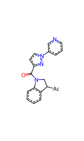 CC(=O)C1CN(C(=O)c2ccn(-c3cccnc3)n2)c2ccccc21